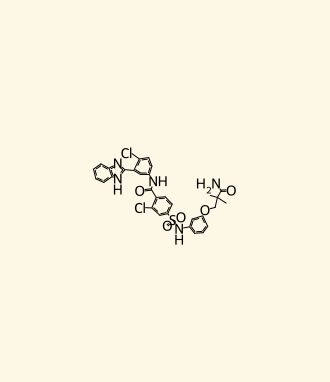 CC(C)(COc1cccc(NS(=O)(=O)c2ccc(C(=O)Nc3ccc(Cl)c(-c4nc5ccccc5[nH]4)c3)c(Cl)c2)c1)C(N)=O